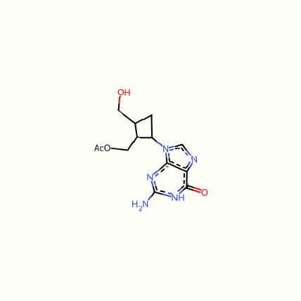 CC(=O)OCC1C(CO)CC1n1cnc2c(=O)[nH]c(N)nc21